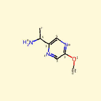 CCOc1cnc(C(C)N)cn1